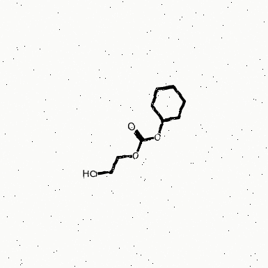 O=C(OCCO)OC1CCCCC1